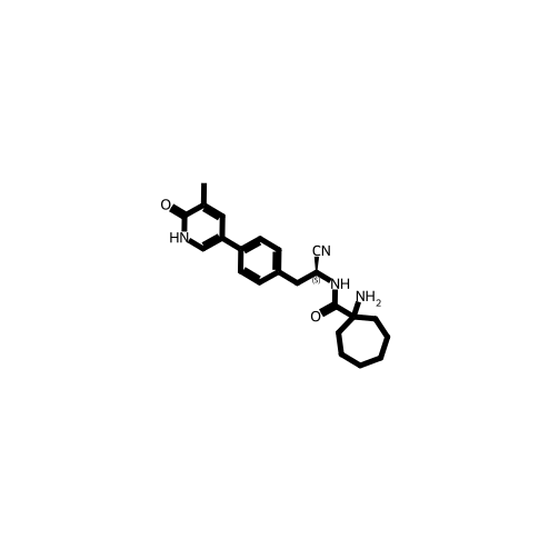 Cc1cc(-c2ccc(C[C@@H](C#N)NC(=O)C3(N)CCCCCC3)cc2)c[nH]c1=O